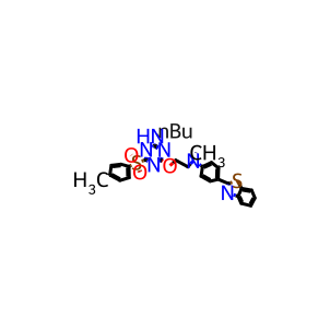 CCCCNc1nc(OCCN(C)c2ccc(-c3nc4ccccc4s3)cc2)nc(S(=O)(=O)c2ccc(C)cc2)n1